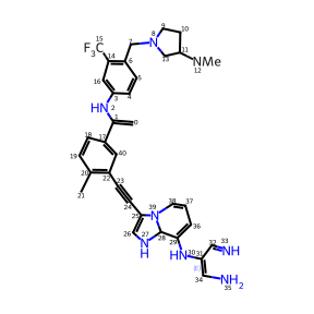 C=C(Nc1ccc(CN2CCC(NC)C2)c(C(F)(F)F)c1)c1ccc(C)c(C#CC2=CNC3C(N/C(C=N)=C/N)=CC=CN23)c1